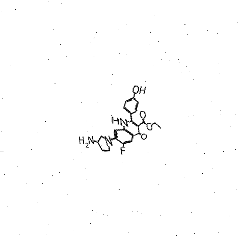 CCOC(=O)c1c(-c2ccc(O)cc2)[nH]c2cc(N3CCC(N)C3)c(F)cc2c1=O